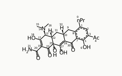 CCCc1cc(C(C)=O)c(O)c2c1C[C@H]1C[C@H]3[C@H](N(C)C)C(O)=C(C(N)=O)C(=O)[C@@]3(O)C(O)=C1C2=O